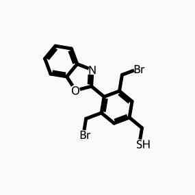 SCc1cc(CBr)c(-c2nc3ccccc3o2)c(CBr)c1